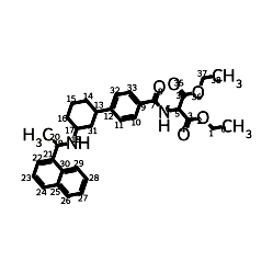 CCOC(=O)C(NC(=O)c1ccc(C2CCCC(N[C@H](C)c3cccc4ccccc34)C2)cc1)C(=O)OCC